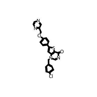 O=c1ncn(Cc2ccc(Cl)cc2)c2cc(-c3ccc(OCc4cnccn4)cc3)sc12